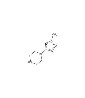 Cc1cc(N2CCNCC2)no1